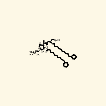 CCCCCCCCCCC[C@H](CC(=O)N[C@H]1C(O)O[C@H](CO[Si](C)(C)C(C)(C)C)[C@@H](O)[C@@H]1OC(=O)CCCCCCCCCc1ccccc1)OC(=O)CCCCCCCCCc1ccccc1